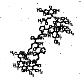 CC(C)C[C@H](NC(=O)[C@H](CC(C)C)NC(=O)[C@@H]1CCCN1C(=O)CNC(=O)[C@H](CCCNC(=N)N)NC(=O)[C@@H]1CCCN1C(=O)CNC(=O)[C@@H](NC(=O)[C@@H](NC(=O)[C@@H](N)CC(C)C)[C@@H](C)O)C(C)C)C(=O)N[C@H](C(=O)N[C@@H](CCC(N)=O)C(=O)N[C@@H](CC(=O)O)C(=O)O)C(C)C